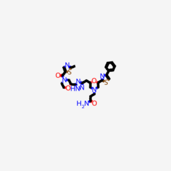 Cc1ncc(C(=O)N2CCOC(c3nc(CC4CN(CCC(N)=O)CC(c5nc(-c6ccccc6)cs5)O4)n[nH]3)C2)s1